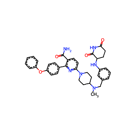 CN(Cc1cccc(NC2CCC(=O)NC2=O)c1)C1CCN(c2ccc(C(N)=O)c(-c3ccc(Oc4ccccc4)cc3)n2)CC1